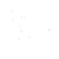 CCC(Nc1nnc(NC(CC)N(C)C)c2cc3c(OC)cccc3cc12)N(C)C